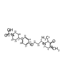 CC1C(=O)N(C)CCN1CCCOc1ccc(C2CCN(C(=O)O)CC2)cc1